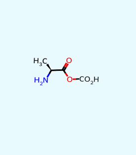 C[C@H](N)C(=O)OC(=O)O